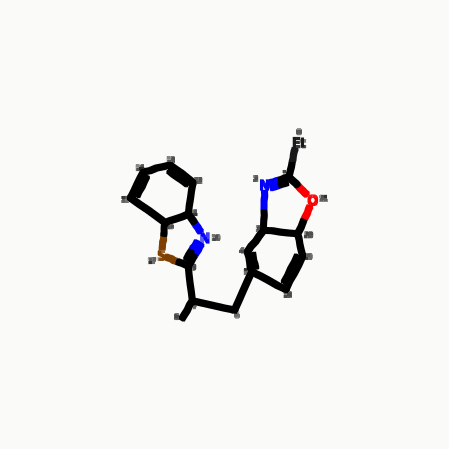 CCC1=NC2C=C(CC(C)C3=NC4C=CC=CC4S3)C=CC2O1